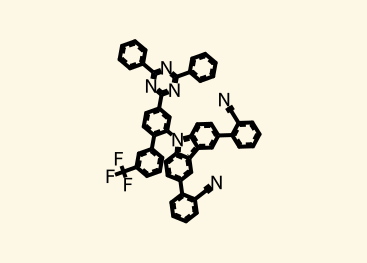 N#Cc1ccccc1-c1ccc2c(c1)c1cc(-c3ccccc3C#N)ccc1n2-c1cc(-c2nc(-c3ccccc3)nc(-c3ccccc3)n2)ccc1-c1cccc(C(F)(F)F)c1